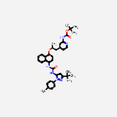 Cc1ccc(-n2nc(C(C)(C)C)cc2NC(=O)Nc2ccc(OC(C)Cc3ccnc(NC(=O)OC(C)(C)C)c3)c3ccccc23)cc1